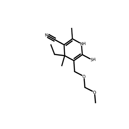 CCC1(C)C(C#N)=C(C)NC(S)=C1COCOC